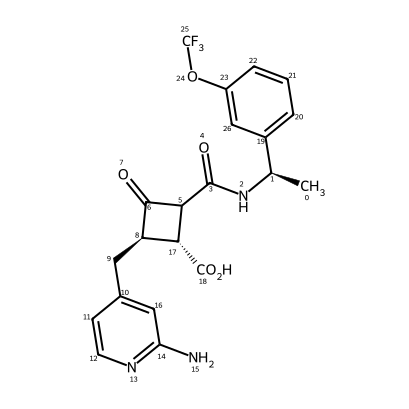 C[C@@H](NC(=O)C1C(=O)[C@H](Cc2ccnc(N)c2)[C@H]1C(=O)O)c1cccc(OC(F)(F)F)c1